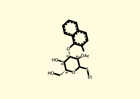 CCSC1O[C@H](CO)[C@@H](O)[C@H](Oc2c(C)ccc3ccccc23)[C@H]1OC(C)=O